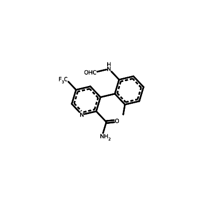 Cc1cccc(NC=O)c1-c1cc(C(F)(F)F)cnc1C(N)=O